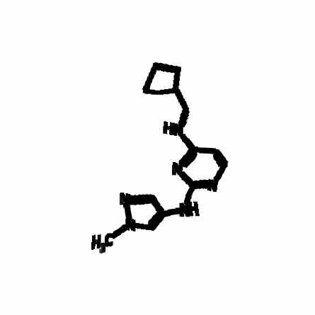 Cn1cc(Nc2nccc(NCC3CCC3)n2)cn1